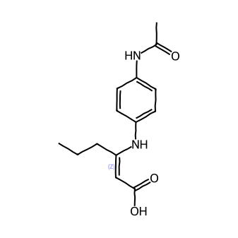 CCC/C(=C/C(=O)O)Nc1ccc(NC(C)=O)cc1